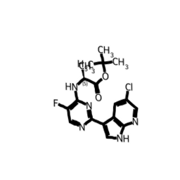 C[C@H](Nc1nc(-c2c[nH]c3ncc(Cl)cc23)ncc1F)C(=O)OC(C)(C)C